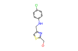 [O]Cc1nc(CNc2ccc(Cl)cc2)cs1